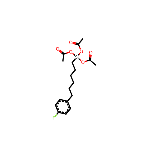 CC(=O)O[Si](CCCCCCc1ccc(F)cc1)(OC(C)=O)OC(C)=O